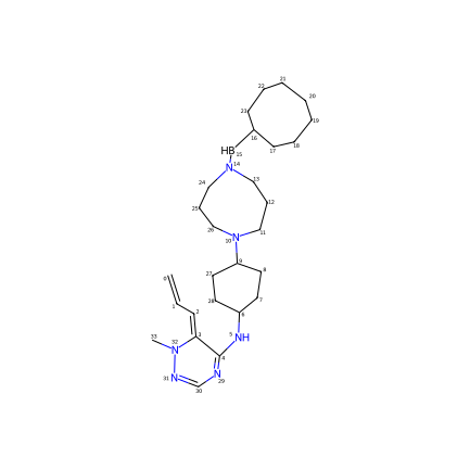 C=C/C=C1/C(NC2CCC(N3CCCN(BC4CCCCCCC4)CCC3)CC2)=NC=NN1C